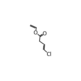 C=COC(=O)CC=CCl